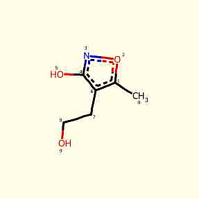 Cc1onc(O)c1CCO